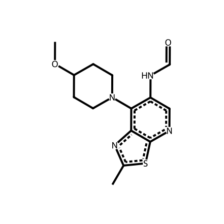 COC1CCN(c2c(NC=O)cnc3sc(C)nc23)CC1